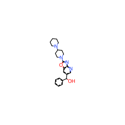 OC(c1ccccc1)c1cnc2nc(N3CCC(N4CCCCC4)CC3)oc2c1